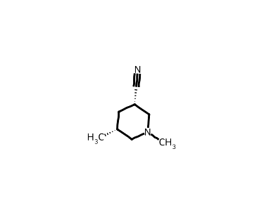 C[C@@H]1C[C@H](C#N)CN(C)C1